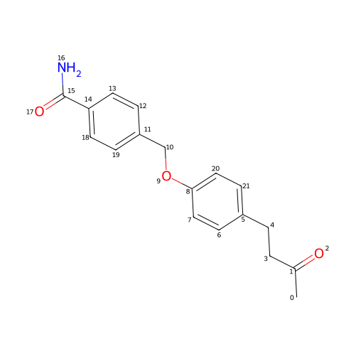 CC(=O)CCc1ccc(OCc2ccc(C(N)=O)cc2)cc1